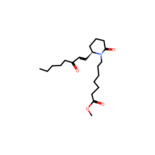 CCCCCC(=O)/C=C/[C@H]1CCCC(=O)N1CCCCCCC(=O)OC